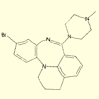 CN1CCN(C2=Nc3cc(Br)ccc3N3CCCc4cccc2c43)CC1